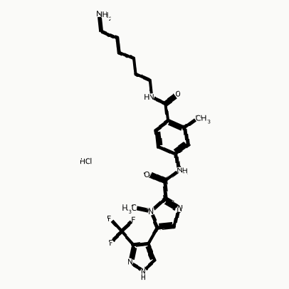 Cc1cc(NC(=O)c2ncc(-c3c[nH]nc3C(F)(F)F)n2C)ccc1C(=O)NCCCCCCN.Cl